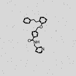 O=C(NCc1cccnc1)c1ccc(COc2ccccc2CCc2ccccc2)cc1